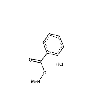 CNOC(=O)c1ccccc1.Cl